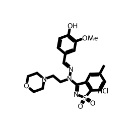 COc1cc(C=NN(CCN2CCOCC2)C2=NS(=O)(=O)c3ccc(C)cc32)ccc1O.Cl